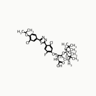 CC(C)Oc1ccc(-c2nnc(-c3cc(F)c(OC[C@@H](NC(=O)O)[C@H](C)OP(=O)(OC(C)(C)C)OC(C)(C)C)cc3Cl)s2)cc1Cl